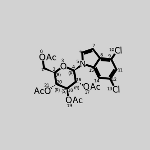 CC(=O)OC[C@H]1O[C@@H](n2ccc3c(Cl)cc(Cl)cc32)[C@H](OC(C)=O)[C@@H](OC(C)=O)[C@@H]1OC(C)=O